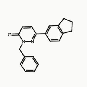 O=c1ccc(-c2ccc3c(c2)CCC3)nn1Cc1ccccc1